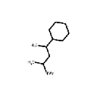 CNC(C)CC(C)C1CCCCC1